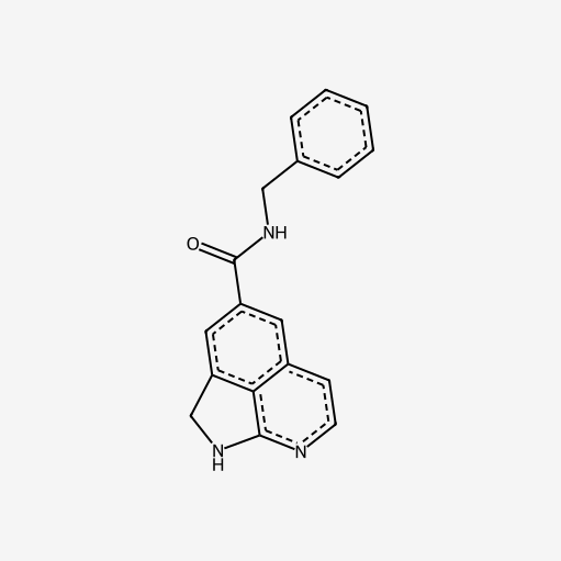 O=C(NCc1ccccc1)c1cc2c3c(nccc3c1)NC2